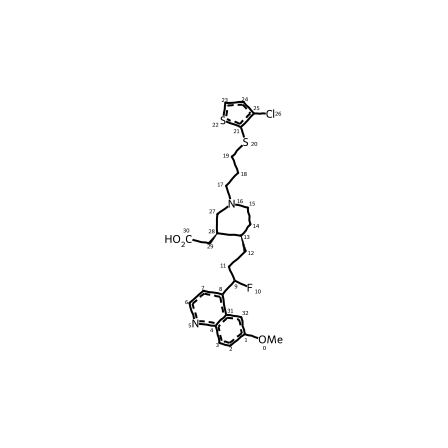 COc1ccc2nccc(C(F)CC[C@@H]3CCN(CCCSc4sccc4Cl)C[C@@H]3CC(=O)O)c2c1